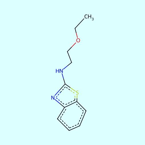 CCOCCNc1nc2ccccc2s1